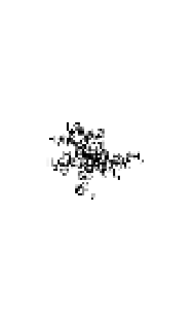 CC=CC(=O)OCCC[Si](O[Si](C)(C)CCCOC(C)=O)(O[Si](C)(C)CCCOC(C)=O)O[Si](CCCOC(=O)C=CC)(O[Si](C)(C)CCCOC(C)=O)O[Si](C)(C)CCCOC(C)=O